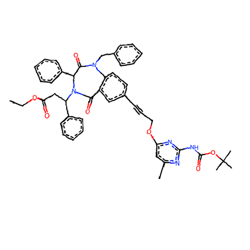 CCOC(=O)CC(c1ccccc1)N1C(=O)c2cc(C#CCOc3cc(C)nc(NC(=O)OC(C)(C)C)n3)ccc2N(Cc2ccccc2)C(=O)C1c1ccccc1